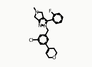 CN1Cc2nn(Cc3cc(Cl)cc(C4=CCOCC4)c3)c(-c3ccccc3F)c2C1